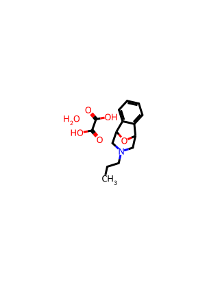 CCCN1CC2OC(C1)c1ccccc12.O.O=C(O)C(=O)O